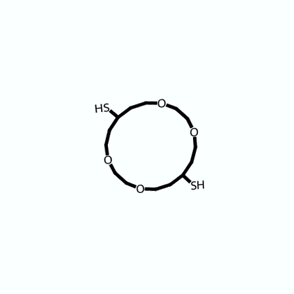 SC1CCOCCOCCC(S)CCOCCOCC1